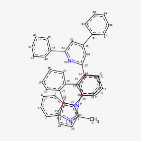 Cc1nc2ccccc2n1-c1ccccc1-c1ccccc1-c1ccccc1-c1cccc(-c2cc(-c3ccccc3)cc(-c3ccccc3)n2)c1